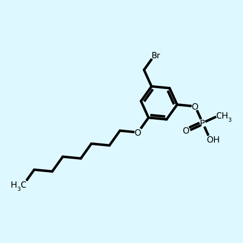 CCCCCCCCOc1cc(CBr)cc(OP(C)(=O)O)c1